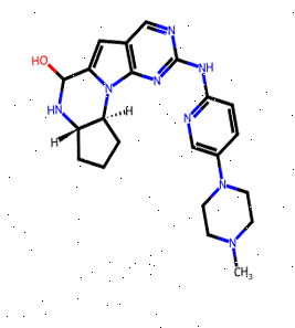 CN1CCN(c2ccc(Nc3ncc4cc5n(c4n3)[C@H]3CCC[C@@H]3NC5O)nc2)CC1